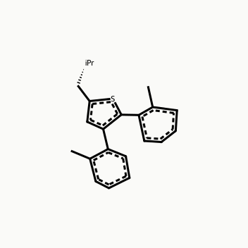 [CH2][C@@H](C)Cc1cc(-c2ccccc2C)c(-c2ccccc2C)s1